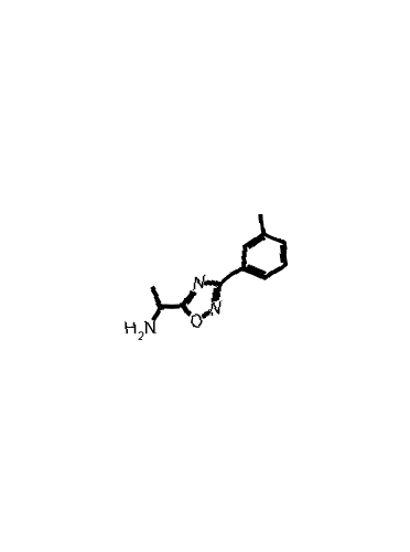 Cc1cccc(-c2noc(C(C)N)n2)c1